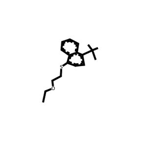 CCOCCSc1ccc(C(C)(C)C)c2ccccc12